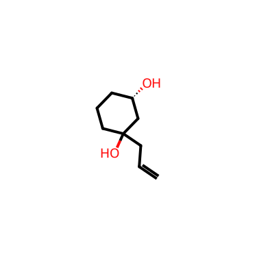 C=CCC1(O)CCC[C@H](O)C1